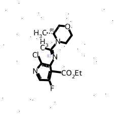 CCOC(=O)c1c(F)cnc(Cl)c1/N=C(\C)N1CCOC[C@H]1C